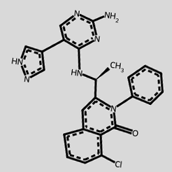 C[C@H](Nc1nc(N)ncc1-c1cn[nH]c1)c1cc2cccc(Cl)c2c(=O)n1-c1ccccc1